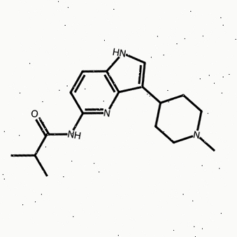 CC(C)C(=O)Nc1ccc2[nH]cc(C3CCN(C)CC3)c2n1